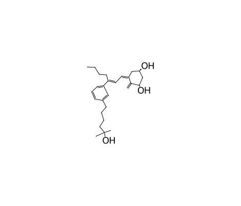 C=C1/C(=C\C=C(/CCCC)c2cccc(CCCCC(C)(C)O)c2)C[C@@H](O)C[C@H]1O